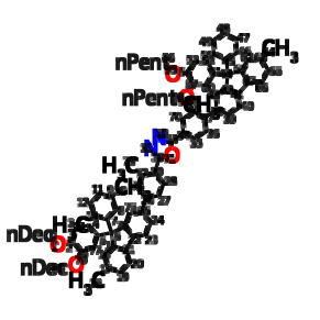 CCCCCCCCCCOc1ccc(C2(c3cc(C)ccc3C)c3cc(C)ccc3-c3ccc(-c4ccc(-c5nnc(-c6ccc(-c7ccc8c(c7)C(c7ccccc7)(c7ccc(OCCCCC)c(OCCCCC)c7)c7cc(C)ccc7-8)c(C)c6)o5)c(C)c4)cc32)cc1OCCCCCCCCCC